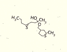 CCCC1SC1CCC(C)(O)OCC1CCSC(C)C1